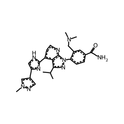 CC(C)c1nn(-c2ccc(C(N)=O)cc2CN(C)C)c2nccc(-c3nc(-c4cnn(C)c4)c[nH]3)c12